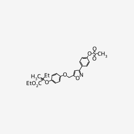 CCOC(=O)[C@@](C)(CC)Oc1ccc(OCc2cc(-c3ccc(OS(C)(=O)=O)cc3)no2)cc1